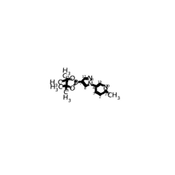 Cc1ccc(-n2cc(B3OC(C)(C)C(C)(C)O3)cn2)cn1